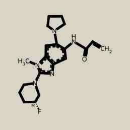 C=CC(=O)Nc1cc2nc(N3CCC[C@@H](F)C3)n(C)c2cc1N1CCCC1